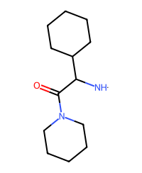 [NH]C(C(=O)N1CCCCC1)C1CCCCC1